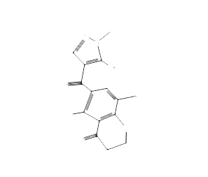 CCn1ncc(C(=O)c2cc(C)c3c(c2C)C(=O)CCS3)c1O